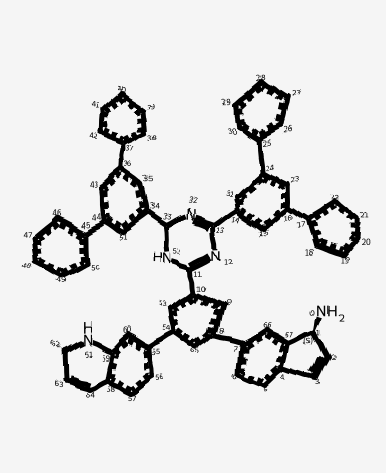 N[C@H]1C=Cc2ccc(-c3cc(C4=NC(c5cc(-c6ccccc6)cc(-c6ccccc6)c5)=NC(c5cc(-c6ccccc6)cc(-c6ccccc6)c5)N4)cc(-c4ccc5c(c4)NCC=C5)c3)cc21